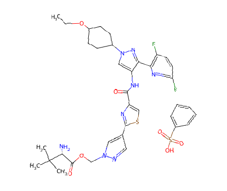 CCOC1CCC(n2cc(NC(=O)c3csc(-c4cnn(COC(=O)[C@@H](N)C(C)(C)C)c4)n3)c(-c3nc(F)ccc3F)n2)CC1.O=S(=O)(O)c1ccccc1